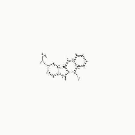 COc1ccc2[nH]c3c(Cl)c4ccccc4nc3c2c1